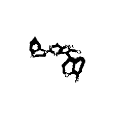 O=C1Nc2cnc(-n3cnc4ccccc43)nc2C1C1CCOc2c(F)cccc21